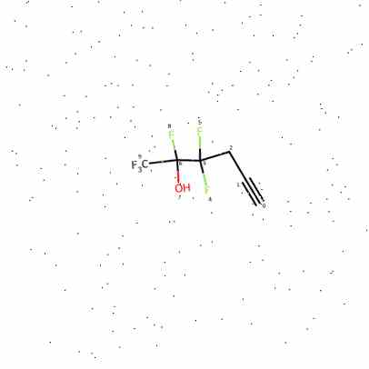 C#CCC(F)(F)C(O)(F)C(F)(F)F